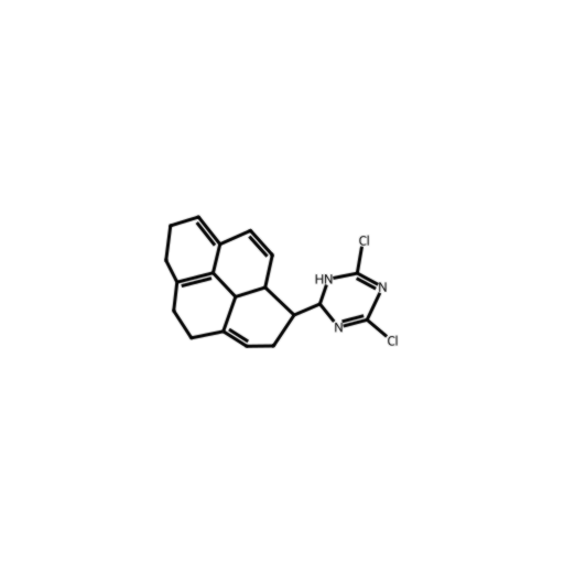 ClC1=NC(C2CC=C3CCC4=C5C(=CCC4)C=CC2C35)NC(Cl)=N1